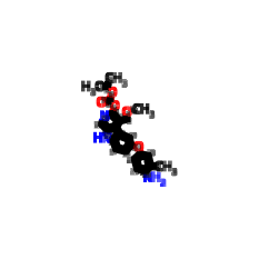 COCc1c(OC(=O)OC(C)C)ncc2[nH]c3ccc(Oc4ccc(N)c(C)c4)cc3c12